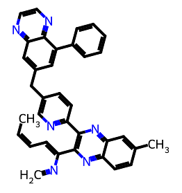 C=N/C(=C\C=C/C)c1nc2ccc(C)cc2nc1-c1ccc(Cc2cc(-c3ccccc3)c3nccnc3c2)cn1